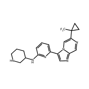 FC(F)(F)C1(c2cn3c(-c4cccc(NC5CCCNC5)n4)cnc3cn2)CC1